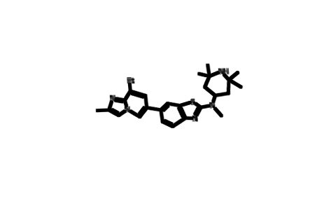 CCc1cc(-c2ccc3nc(N(C)C4CC(C)(C)NC(C)(C)C4)sc3c2)cn2cc(C)nc12